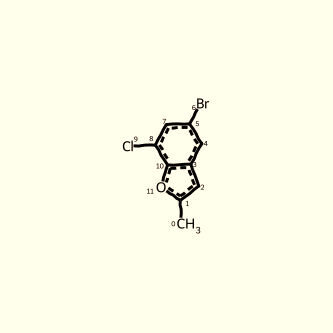 Cc1cc2cc(Br)cc(Cl)c2o1